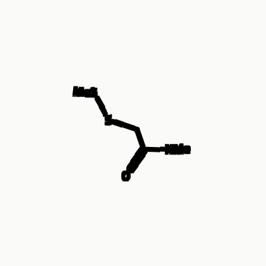 CNC(=O)CSSC